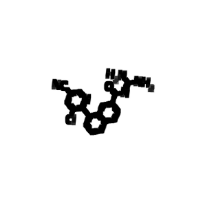 N#Cc1cnc(-c2cccc3ccc(C(=O)N=C(N)N)cc23)c(Cl)c1